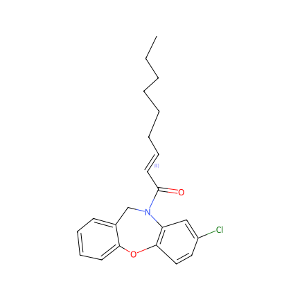 CCCCCC/C=C/C(=O)N1Cc2ccccc2Oc2ccc(Cl)cc21